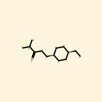 CC[C@H]1CC[C@@H](CCC(=O)C(C)C)CC1